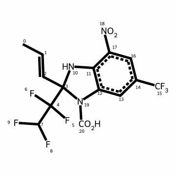 CC=CC1(C(F)(F)C(F)F)Nc2c(cc(C(F)(F)F)cc2[N+](=O)[O-])N1C(=O)O